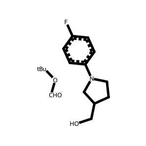 CC(C)(C)OC=O.OCC1CCN(c2ccc(F)cc2)C1